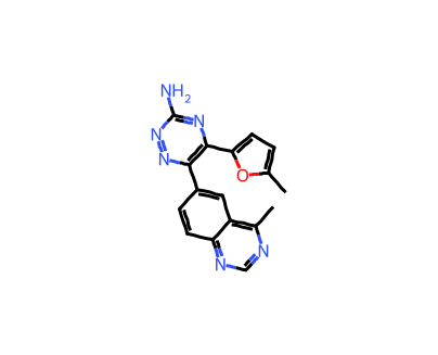 Cc1ccc(-c2nc(N)nnc2-c2ccc3ncnc(C)c3c2)o1